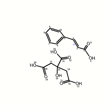 O=C(O)/C=C/c1ccccc1.O=C(O)CC(O)(CC(=O)O)C(=O)O